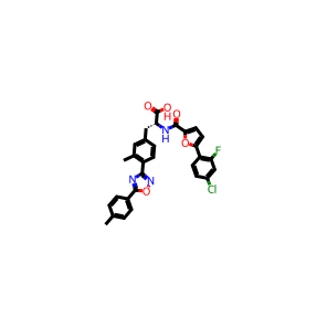 Cc1ccc(-c2nc(-c3ccc(C[C@@H](NC(=O)c4ccc(-c5ccc(Cl)cc5F)o4)C(=O)O)cc3C)no2)cc1